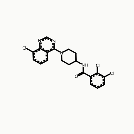 O=C(NC1CCN(c2ncnc3c(Cl)cccc23)CC1)c1cccc(Cl)c1Cl